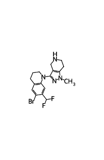 Cn1nc(N2CCCc3cc(Br)c(C(F)F)cc32)c2c1CCNC2